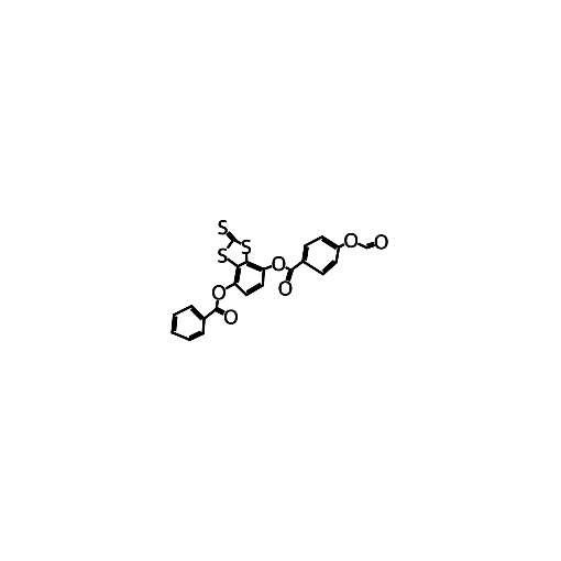 O=COc1ccc(C(=O)Oc2ccc(OC(=O)c3ccccc3)c3sc(=S)sc23)cc1